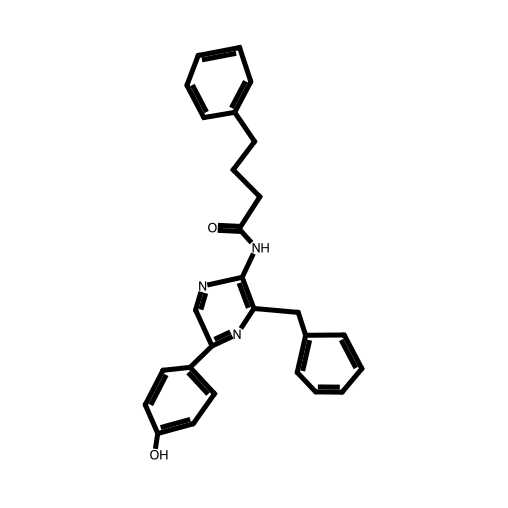 O=C(CCCc1ccccc1)Nc1ncc(-c2ccc(O)cc2)nc1Cc1ccccc1